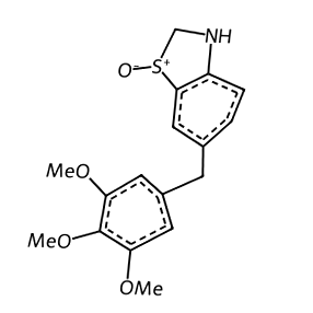 COc1cc(Cc2ccc3c(c2)[S+]([O-])CN3)cc(OC)c1OC